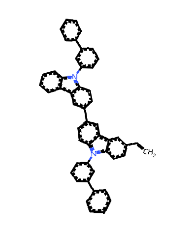 C=Cc1ccc2c(c1)c1cc(-c3ccc4c(c3)c3ccccc3n4-c3cccc(-c4ccccc4)c3)ccc1n2-c1cccc(-c2ccccc2)c1